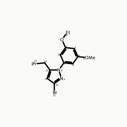 CCOc1cc(OC)cc(-n2nc(Br)cc2CC(C)C)c1